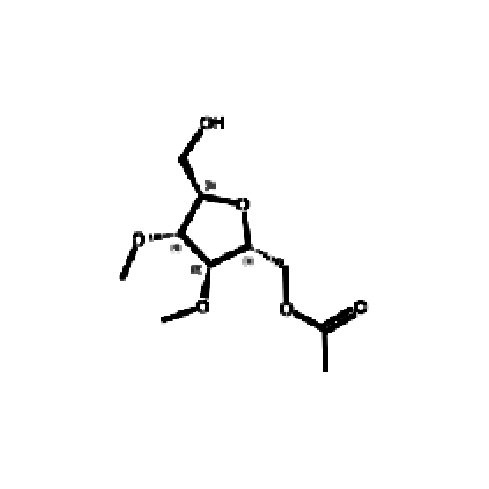 CO[C@H]1[C@H](OC)[C@@H](COC(C)=O)O[C@@H]1CO